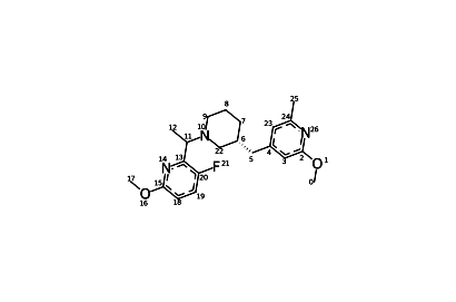 COc1cc(C[C@H]2CCCN(C(C)c3nc(OC)ccc3F)C2)cc(C)n1